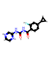 O=C(NC(=O)c1ccc(C2CC2)cc1F)Nc1cnccn1